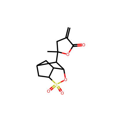 C=C1CC(C)(C2C3CC4C2OS(=O)(=O)C4C3)OC1=O